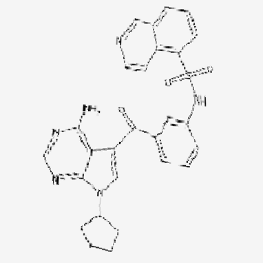 Nc1ncnc2c1c(C(=O)c1cccc(NS(=O)(=O)c3cccc4cnccc34)c1)cn2C1CCCC1